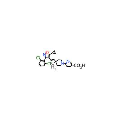 CC1(C=Cc2c(-c3c(Cl)cccc3Cl)noc2C2CC2)CCN(c2ccc(C(=O)O)cn2)CC1